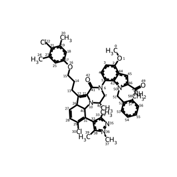 COc1ccc(N2C[C@@H](C)N3C(=C(CCCOc4cc(C)c(Cl)c(C)c4)C4C=CC(Cl)=C(c5c(C)nn(C)c5C)C43)C2=O)c2c1cc(C(N)=O)n2Cc1ccccc1C